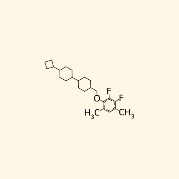 Cc1cc(C)c(OCC2CCC(C3CCC(C4CCC4)CC3)CC2)c(F)c1F